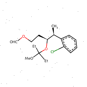 CCC(CC)(OC)O[C@@H](CCOC=O)[C@@H](C)c1ccccc1Cl